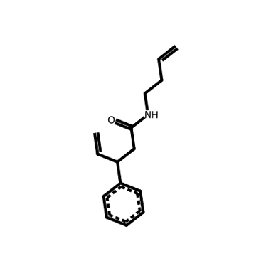 C=CCCNC(=O)CC(C=C)c1ccccc1